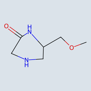 COCC1CNCC(=O)N1